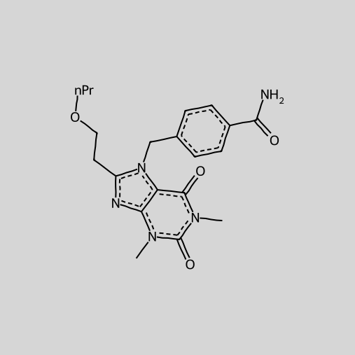 CCCOCCc1nc2c(c(=O)n(C)c(=O)n2C)n1Cc1ccc(C(N)=O)cc1